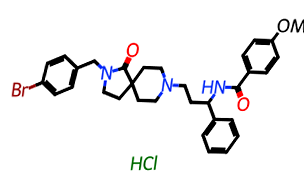 COc1ccc(C(=O)NC(CCN2CCC3(CC2)CCN(Cc2ccc(Br)cc2)C3=O)c2ccccc2)cc1.Cl